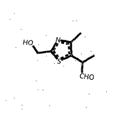 Cc1nc(CO)sc1C(C)C=O